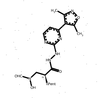 CCCCC[C@@H](CN(O)C=O)C(=O)NNc1nccc(-c2c(C)noc2C)n1